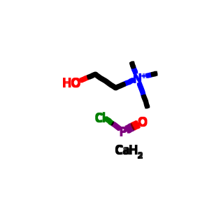 C[N+](C)(C)CCO.O=PCl.[CaH2]